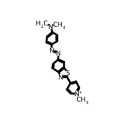 CN(C)c1ccc(/N=N/c2ccc3nc(-c4cc[n+](C)cc4)sc3c2)cc1